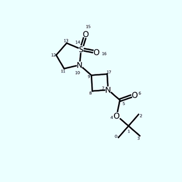 CC(C)(C)OC(=O)N1CC(N2CCCS2(=O)=O)C1